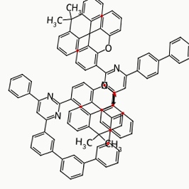 CC1(C)c2ccccc2C2(c3ccccc3Oc3ccc(-c4nc(-c5ccccc5)cc(-c5cccc(-c6cccc(-c7cccc(-c8ccc(-c9cc(-c%10ccc(-c%11ccccc%11)cc%10)nc(-c%10cccc%11c%10Oc%10ccccc%10C%11%10c%11ccccc%11C(C)(C)c%11ccccc%11%10)n9)cc8)c7)c6)c5)n4)cc32)c2ccccc21